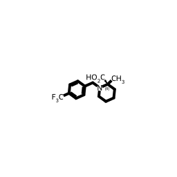 C[C@]1(C(=O)O)CCCCN1Cc1ccc(C(F)(F)F)cc1